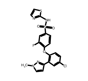 Cn1ccc(-c2cc(Cl)ccc2Oc2ccc(S(=O)(=O)Nc3nccs3)cc2F)n1